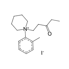 CCC(=O)CC[N+]1(c2ccccc2C)CCCCC1.[I-]